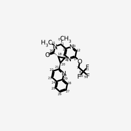 C[C@H](c1cnc(OCC(F)(F)F)cn1)N(C)C(=O)[C@@H]1C[C@H]1c1ccc2ccccc2n1